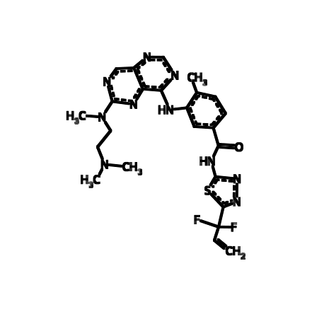 C=CC(F)(F)c1nnc(NC(=O)c2ccc(C)c(Nc3ncnc4cnc(N(C)CCN(C)C)nc34)c2)s1